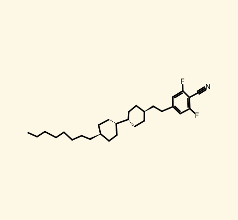 CCCCCCCC[C@H]1CC[C@H]([C@H]2CC[C@H](CCc3cc(F)c(C#N)c(F)c3)CC2)CC1